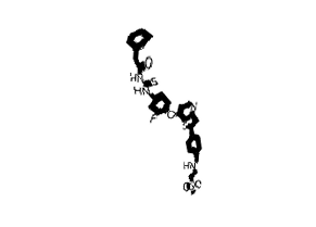 CS(=O)(=O)CCNCc1ccc(-c2cc3nccc(Oc4ccc(NC(=S)NC(=O)Cc5ccccc5)cc4F)c3s2)cc1